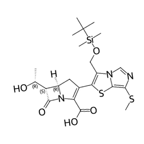 CSc1ncn2c(CO[Si](C)(C)C(C)(C)C)c(C3=C(C(=O)O)N4C(=O)[C@H]([C@@H](C)O)[C@H]4C3)sc12